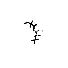 CCC(C)(C)/C(C)=C/N(N)C(C)CC(C)(C)C